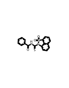 O=C(NC(=S)N1c2cccc3cccc(c23)S1(=O)=O)c1ccccc1